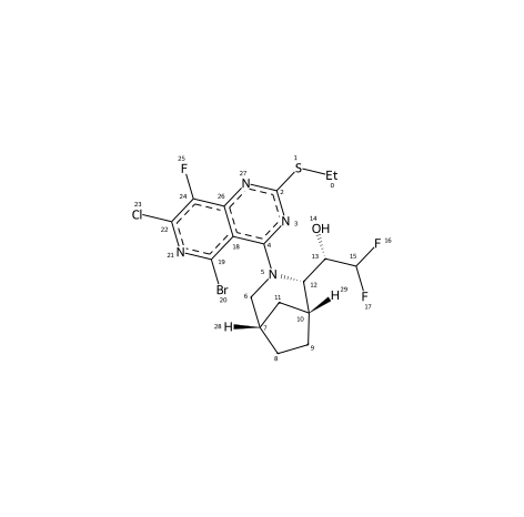 CCSc1nc(N2C[C@H]3CC[C@H](C3)[C@H]2[C@H](O)C(F)F)c2c(Br)nc(Cl)c(F)c2n1